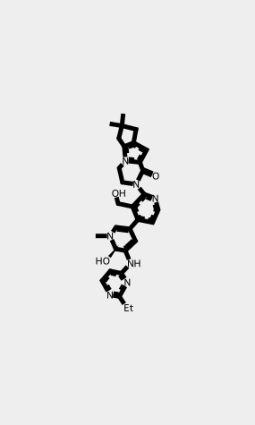 CCc1nccc(NC2=CC(c3ccnc(N4CCn5c(cc6c5CC(C)(C)C6)C4=O)c3CO)=CN(C)[C@@H]2O)n1